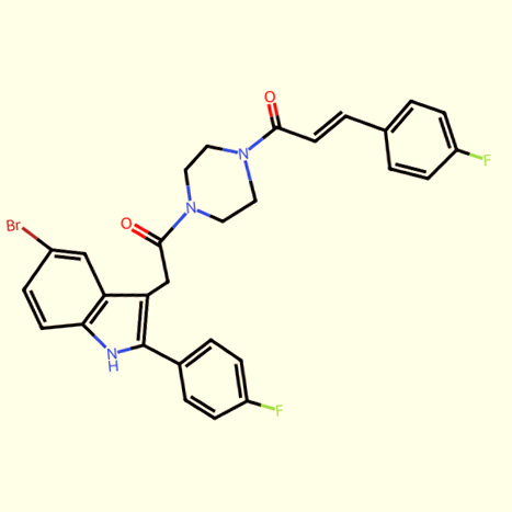 O=C(/C=C/c1ccc(F)cc1)N1CCN(C(=O)Cc2c(-c3ccc(F)cc3)[nH]c3ccc(Br)cc23)CC1